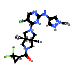 Cn1cc(Nc2ncc(Cl)c(N3C[C@@H]4CN(C(=O)C5CC5(F)F)C[C@]4(C)C3)n2)cn1